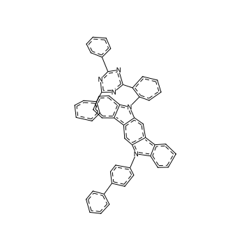 c1ccc(-c2ccc(-n3c4ccccc4c4cc5c(cc43)c3ccccc3n5-c3ccccc3-c3nc(-c4ccccc4)nc(-c4ccccc4)n3)cc2)cc1